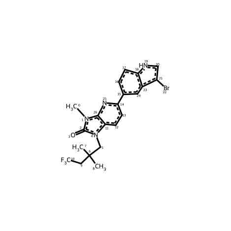 Cn1c(=O)n(CC(C)(C)CC(F)(F)F)c2ccc(-c3ccc4[nH]cc(Br)c4c3)nc21